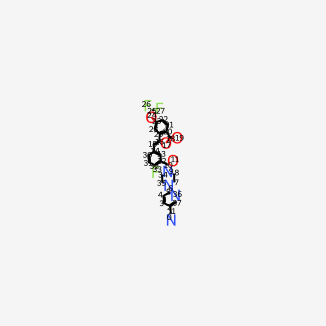 N#Cc1ccc(N2CCN(C(=O)c3cc(C=C4OC(=O)c5ccc(OC(F)F)cc54)ccc3F)CC2)nc1